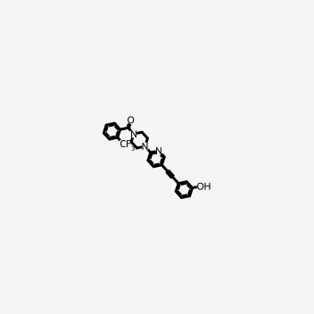 O=C(c1ccccc1C(F)(F)F)N1CCN(c2ccc(C#Cc3cccc(O)c3)cn2)CC1